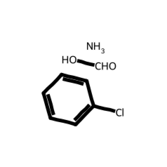 Clc1ccccc1.N.O=CO